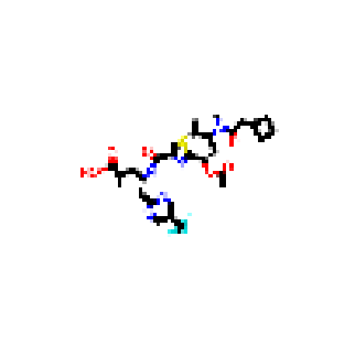 CC(=O)O[C@H](CC(C(C)C)N(C)C(=O)CC1CCC1)c1nc(C(=O)N[C@@H](Cc2ncc(C(F)(F)F)cn2)C[C@H](C)C(=O)O)cs1